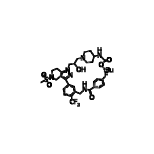 CC(C)(C)OC(=O)NC1CCN(CC(O)Cn2nc(-c3ccc(C(F)(F)F)c(CNC(=O)c4ccc(F)cc4)c3)c3c2CCN(S(C)(=O)=O)C3)CC1